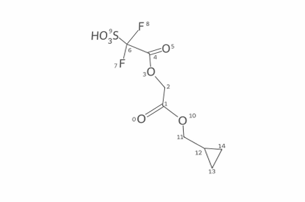 O=C(COC(=O)C(F)(F)S(=O)(=O)O)OCC1CC1